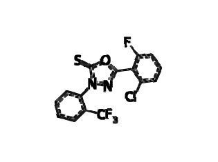 Fc1cccc(Cl)c1-c1nn(-c2ccccc2C(F)(F)F)c(=S)o1